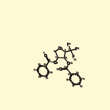 O=C(OC1COC(C(F)(F)F)C1OC(=O)c1ccccc1)c1ccccc1